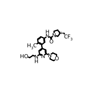 Cc1ccc(NC(=O)N2CC[C@@H](CC(F)(F)F)C2)cc1-c1cc(NCCO)nc(N2CCOCC2)c1